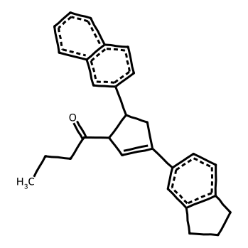 CCCC(=O)C1C=C(c2ccc3c(c2)CCC3)CC1c1ccc2ccccc2c1